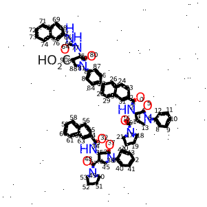 O=C(N[C@@H]1C(=O)N(c2ccccc2)C[C@@H]1C(=O)N1CCCC1)c1ccc2ccccc2c1.O=C(N[C@@H]1C(=O)N(c2ccccc2)C[C@H]1C(=O)N1CCCC1)c1ccc2ccccc2c1.O=C(Nc1ccc2ccccc2c1)N[C@@H]1C(=O)N(c2ccccc2)C[C@H]1C(=O)O